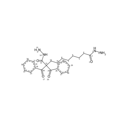 NNC(=O)CCCCCCCC(C(=O)NN)(C(=O)c1ccccc1)C(=O)c1ccccc1